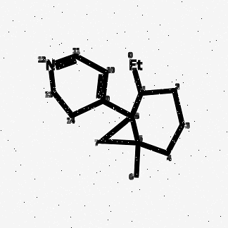 CCC1CCCC2(C)CC12C1=CC=NCC1